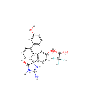 COc1cccc(-c2cccc(C3(c4ccc(O)cc4)N=C(N)N(C)C3=O)c2)c1.O=C(O)C(F)(F)F